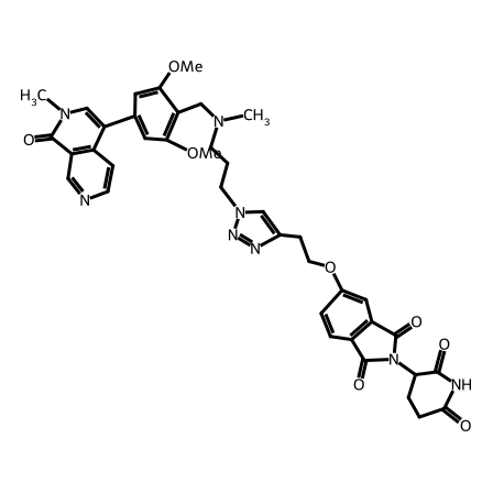 COc1cc(-c2cn(C)c(=O)c3cnccc23)cc(OC)c1CN(C)CCCn1cc(CCOc2ccc3c(c2)C(=O)N(C2CCC(=O)NC2=O)C3=O)nn1